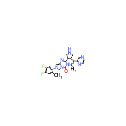 Cc1cc(F)c(F)cc1N1C=C2N=C(C3CNCC3C(C)c3cnccn3)NC(=O)N2C1